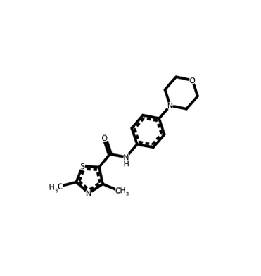 Cc1nc(C)c(C(=O)Nc2ccc(N3CCOCC3)cc2)s1